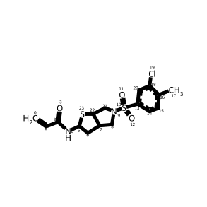 C=CC(=O)NC1CC2CN(S(=O)(=O)c3ccc(C)c(Cl)c3)CC2S1